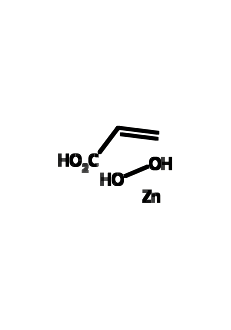 C=CC(=O)O.OO.[Zn]